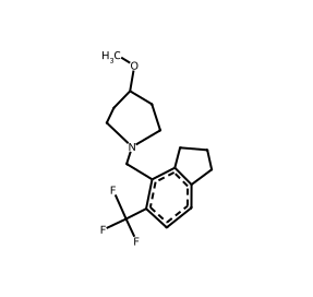 COC1CCN(Cc2c(C(F)(F)F)ccc3c2CCC3)CC1